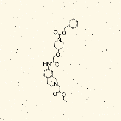 CCOC(=O)CN1CCc2ccc(NC(=O)COC3CCN(C(=O)OCc4ccccc4)CC3)cc2C1